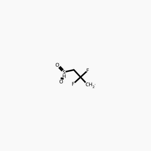 [CH2]C(F)(F)C[SH](=O)=O